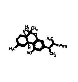 CCCCCC(C)C(C)c1cc(O)c2c(c1)OC(C)(C)[C@@H]1CCC(C)=C[C@@H]21